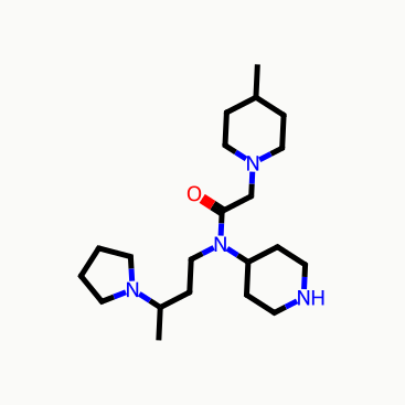 CC1CCN(CC(=O)N(CCC(C)N2CCCC2)C2CCNCC2)CC1